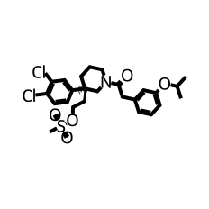 CC(C)Oc1cccc(CC(=O)N2CCC[C@@](CCOS(C)(=O)=O)(c3ccc(Cl)c(Cl)c3)C2)c1